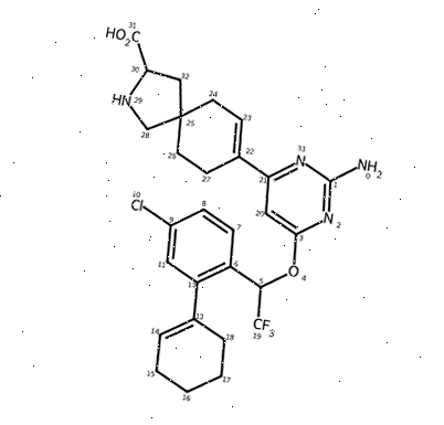 Nc1nc(OC(c2ccc(Cl)cc2C2=CCCCC2)C(F)(F)F)cc(C2=CCC3(CC2)CNC(C(=O)O)C3)n1